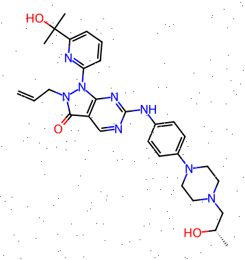 C=CCn1c(=O)c2cnc(Nc3ccc(N4CCN(C[C@H](C)O)CC4)cc3)nc2n1-c1cccc(C(C)(C)O)n1